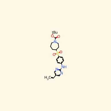 C=Cc1cnc(Nc2ccc(S(=O)(=O)C3CCCN(C(=O)OC(C)(C)C)CC3)cc2)nc1